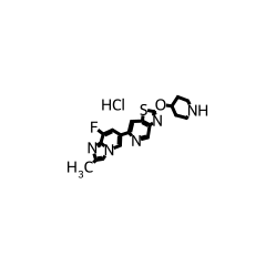 Cc1cn2cc(-c3cc4sc(OC5CCNCC5)nc4cn3)cc(F)c2n1.Cl